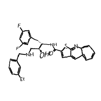 CCc1cccc(CNC[C@H](O)[C@H](Cc2cc(F)cc(F)c2)NC(=O)c2cc3cc4ccccc4nc3s2)c1